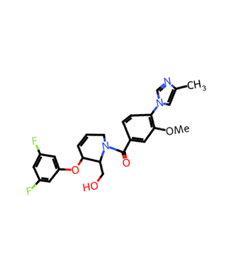 COc1cc(C(=O)N2CC=CC(Oc3cc(F)cc(F)c3)C2CO)ccc1-n1cnc(C)c1